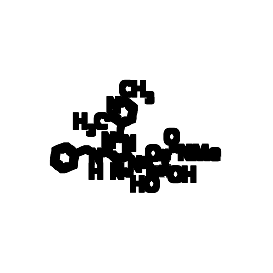 CNC(=O)[C@H]1O[C@@H](n2cnc3c(NCc4ccccc4)nc(-c4ccc(C)nc4C)nc32)[C@H](O)[C@@H]1O